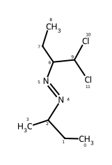 CCC(C)N=NC(CC)C(Cl)Cl